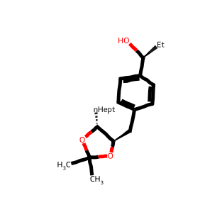 CCCCCCC[C@H]1OC(C)(C)O[C@@H]1Cc1ccc([C@@H](O)CC)cc1